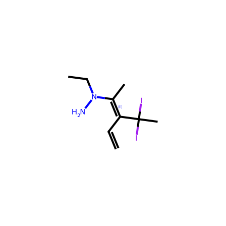 C=C/C(=C(/C)N(N)CC)C(C)(I)I